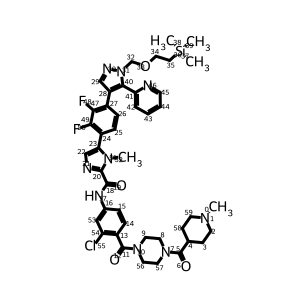 CN1CCC(C(=O)N2CCN(C(=O)c3ccc(NC(=O)c4ncc(-c5ccc(-c6cnn(COCC[Si](C)(C)C)c6-c6ccccn6)c(F)c5F)n4C)cc3Cl)CC2)CC1